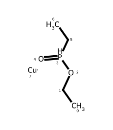 CCO[PH](=O)CC.[Cu]